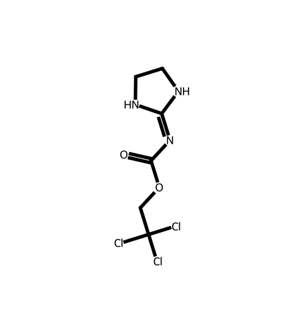 O=C(N=C1NCCN1)OCC(Cl)(Cl)Cl